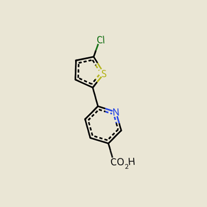 O=C(O)c1ccc(-c2ccc(Cl)s2)nc1